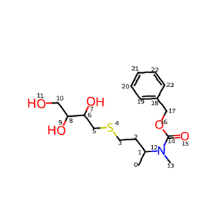 CC(CCSCC(O)C(O)CO)N(C)C(=O)OCc1ccccc1